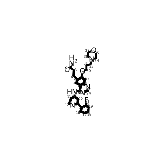 NC(=O)C=Cc1cc2c(Nc3ccnc(-c4ccccc4F)c3)ncnc2cc1OCCCN1CCOCC1